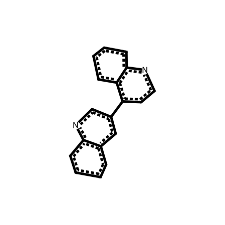 c1ccc2ncc(-c3ccnc4ccccc34)cc2c1